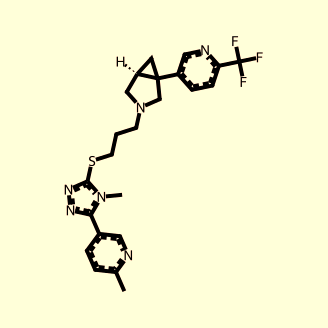 Cc1ccc(-c2nnc(SCCCN3C[C@H]4CC4(c4ccc(C(F)(F)F)nc4)C3)n2C)cn1